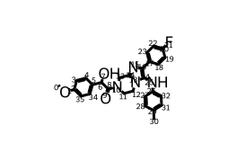 COc1ccc(C(O)C(=O)N2CCn3c(nc(-c4ccc(F)cc4)c3Nc3ccc(C)cc3)C2)cc1